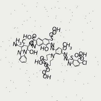 COc1cc(N=Nc2c(SOOO)cc3cc(S(=O)(=O)O)c(N=Nc4c(C)c(C#N)c5nc6ccccc6n5c4O)cc3c2O)c(N(CCCSOOO)CCCS(=O)(=O)O)cc1N=Nc1nc2ccc(Cl)c(S(=O)(=O)O)c2s1